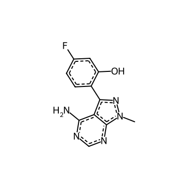 Cn1nc(-c2ccc(F)cc2O)c2c(N)ncnc21